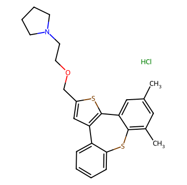 Cc1cc(C)c2c(c1)-c1sc(COCCN3CCCC3)cc1-c1ccccc1S2.Cl